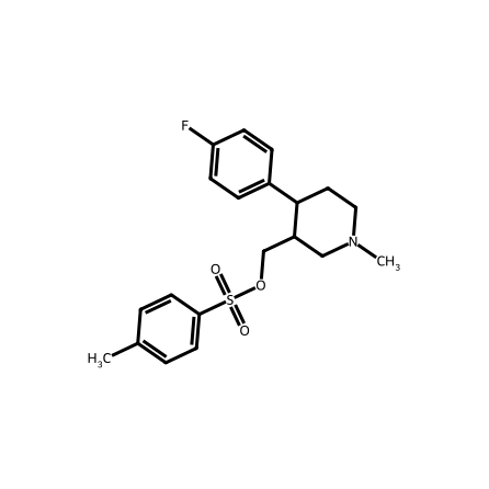 Cc1ccc(S(=O)(=O)OCC2CN(C)CCC2c2ccc(F)cc2)cc1